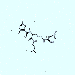 Cc1nc(C)c(C(=O)N[C@@H](CCCNC(=N)N[N+](=O)[O-])C(=O)N[CH]CC(C)C)s1